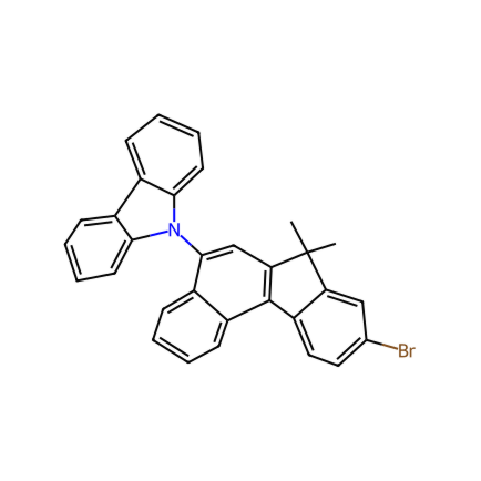 CC1(C)c2cc(Br)ccc2-c2c1cc(-n1c3ccccc3c3ccccc31)c1ccccc21